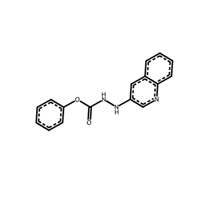 O=C(NNc1cnc2ccccc2c1)Oc1ccccc1